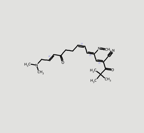 C=NC(=C\C=C/CCC(=O)/C=C/CN(C)C)/C=C(\C#N)C(=O)C(C)(C)C